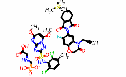 C#CCN1C(=O)COc2cc(F)c(N3C(=O)C4=C(CCCC4)C3=O)cc21.COc1cc(OC)n2nc(S(=O)(=O)Nc3c(Cl)ccc(C)c3Cl)nc2n1.C[S+](C)C.O=C(O)CNCP(=O)([O-])O